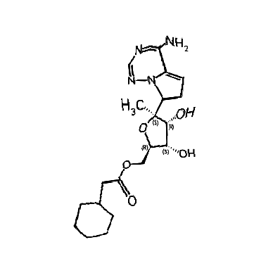 C[C@@]1(C2CC=C3C(N)=NC=NN32)O[C@H](COC(=O)CC2CCCCC2)[C@@H](O)[C@H]1O